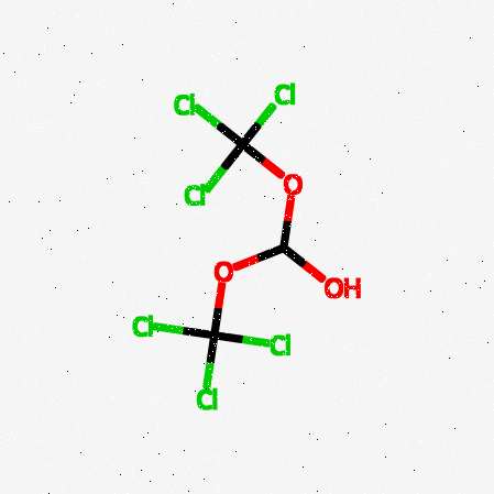 OC(OC(Cl)(Cl)Cl)OC(Cl)(Cl)Cl